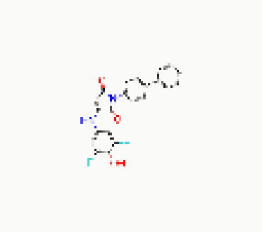 O=C1C=C(Nc2cc(F)c(O)c(F)c2)C(=O)N1c1ccc(-c2ccccc2)cc1